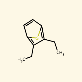 CCc1c(CC)c2ccc1s2